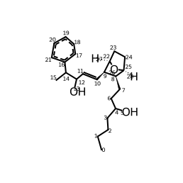 CCCCC(O)CC[C@H]1[C@@H](C=CC(O)C(C)c2ccccc2)[C@H]2CC[C@@H]1O2